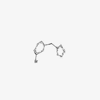 Brc1cccc(Cn2cnnc2)c1